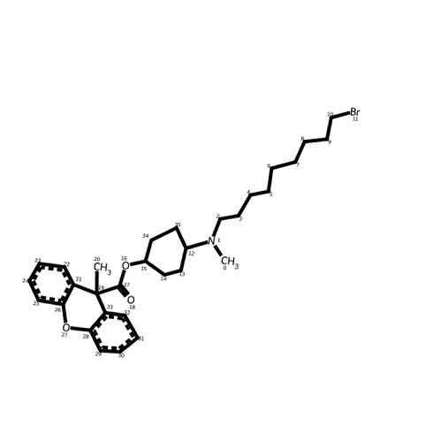 CN(CCCCCCCCCBr)C1CCC(OC(=O)C2(C)c3ccccc3Oc3ccccc32)CC1